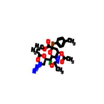 COC(=O)[C@]1(Sc2ccc(C)cc2)C[C@H](OC(C)=O)[C@@H](NC(C)=O)[C@H]([C@@H](F)[C@@H](CN=[N+]=[N-])OC(C)=O)O1